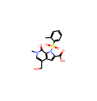 Cc1ccccc1S(=O)(=O)n1c(C(=O)O)cc2c(CO)cn(C)c(=O)c21